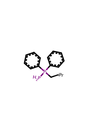 CC(C)C[P](P)(c1ccccc1)c1ccccc1